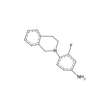 Nc1ccc(N2CCc3ccccc3C2)c(F)c1